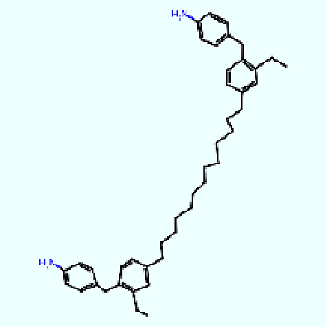 CCc1cc(CCCCCCCCCCCCCc2ccc(Cc3ccc(N)cc3)c(CC)c2)ccc1Cc1ccc(N)cc1